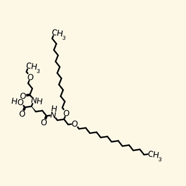 CCCCCCCCCCCCCCOCC(CNC(=O)CC[C@H](NC(=O)CCOCC)C(=O)O)OCCCCCCCCCCCCCC